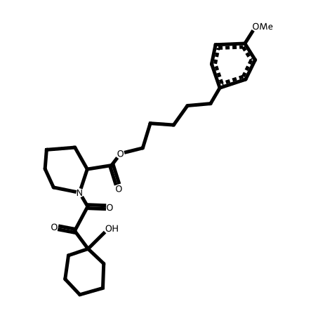 COc1ccc(CCCCCOC(=O)C2CCCCN2C(=O)C(=O)C2(O)CCCCC2)cc1